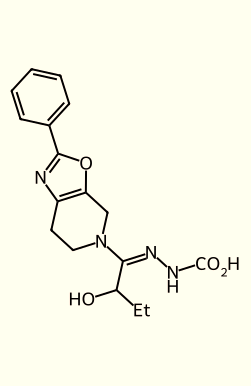 CCC(O)C(=NNC(=O)O)N1CCc2nc(-c3ccccc3)oc2C1